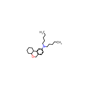 CCCCCN(CCCCC)c1ccc2c(c1)C1CCCCC1OC2